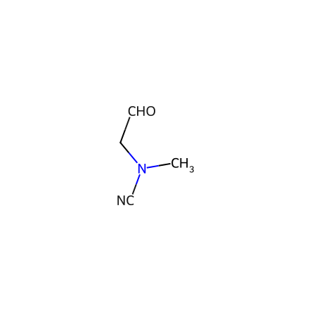 CN(C#N)CC=O